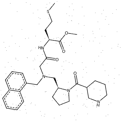 COC(=O)[C@H](CCSC)NC(=O)CN(Cc1cccc2ccccc12)C[C@@H]1CCCN1C(=O)C1CCCNC1